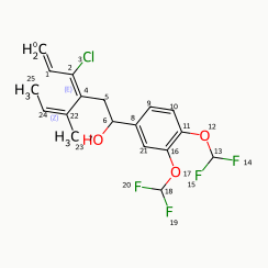 C=C/C(Cl)=C(CC(O)c1ccc(OC(F)F)c(OC(F)F)c1)\C(C)=C/C